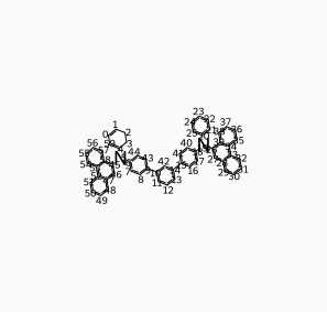 C1=CCCC(N(c2ccc(-c3cccc(-c4ccc(N(c5ccccc5)c5cc6ccccc6c6ccccc56)cc4)c3)cc2)c2cc3ccccc3c3ccccc23)=C1